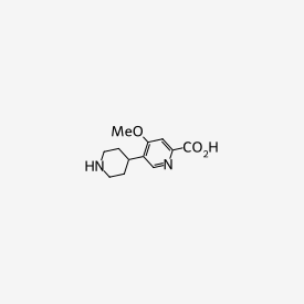 COc1cc(C(=O)O)ncc1C1CCNCC1